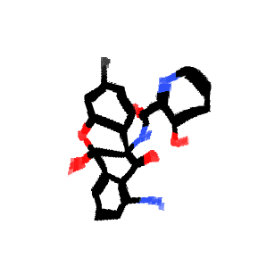 CC(C)c1ccc2c(c1)OC1(O)c3cccc(N)c3C(=O)C21NC(=O)c1ncccc1O